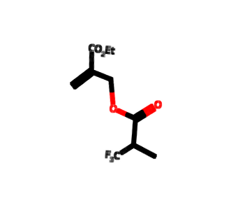 C=C(COC(=O)C(C)C(F)(F)F)C(=O)OCC